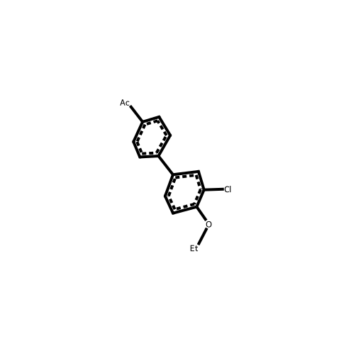 CCOc1ccc(-c2ccc(C(C)=O)cc2)cc1Cl